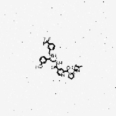 Cc1coc([C@H]2CCCN2C(=O)c2cc(C(=O)N[C@@H](C)CC(NCc3cccc(C(F)(F)F)c3)c3cccc(O)c3)ccn2)n1